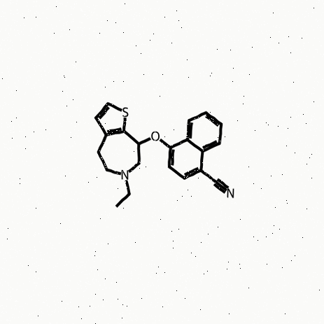 CCN1CCc2ccsc2C(Oc2ccc(C#N)c3ccccc23)C1